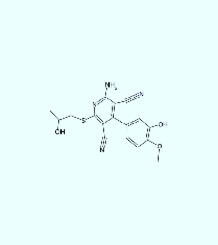 COc1ccc(-c2c(C#N)c(N)nc(SCC(C)O)c2C#N)cc1O